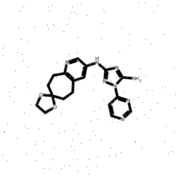 Nc1nc(Nc2cnc3c(c2)CCC2(CC3)OCCO2)nn1-c1ccncn1